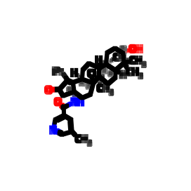 Cc1cncc(C(=O)N[C@@]23CC[C@]4(C)[C@H](CC[C@@H]5[C@@]6(C)CC[C@H](O)C(C)(C)[C@@H]6CC[C@]54C)C2=C(C(C)C)C(=O)C3)c1